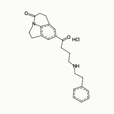 Cl.O=C(CCCNCCc1ccccc1)c1cc2c3c(c1)CCN3C(=O)CC2